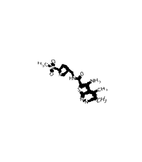 Cc1nnc2sc(C(=O)NCc3ccc(S(C)(=O)=O)nc3)c(N)c2c1C